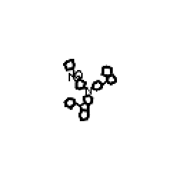 c1ccc(-c2nc3ccc(N(c4ccc(-c5cccc6ccccc56)cc4)c4ccc5c(c4)C(c4ccccc4)c4ccccc4-5)cc3o2)cc1